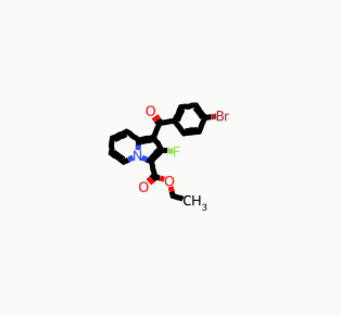 CCOC(=O)c1c(F)c(C(=O)c2ccc(Br)cc2)c2ccccn12